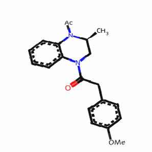 COc1ccc(CC(=O)N2C[C@H](C)N(C(C)=O)c3ccccc32)cc1